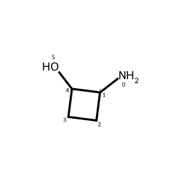 N[C]1CCC1O